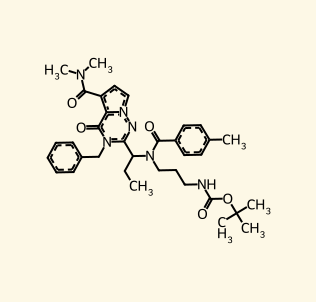 CCC(c1nn2ccc(C(=O)N(C)C)c2c(=O)n1Cc1ccccc1)N(CCCNC(=O)OC(C)(C)C)C(=O)c1ccc(C)cc1